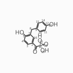 O=C(c1ccc(O)c(Cc2ccc(O)cc2)c1)P(=O)(O)O